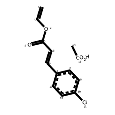 C=COC(=O)/C=C/c1ccc(Cl)cc1.CC(=O)O